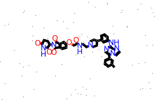 Cc1cccc(-c2cnc(Nc3cccc(C4CCN(CCNC(=O)COc5ccc6c(c5)C(=O)N(C5CCC(=O)NC5=O)C6=O)CC4)c3)c3nccn23)c1